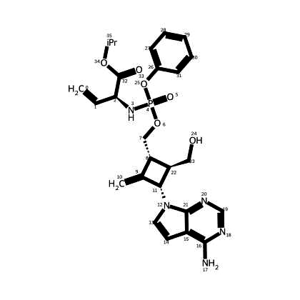 C=C[C@H](NP(=O)(OC[C@H]1C(=C)[C@@H](n2ccc3c(N)ncnc32)[C@@H]1CO)Oc1ccccc1)C(=O)OC(C)C